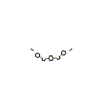 FC(F)=C(F)Oc1ccc(-c2ccc(-c3c4c(c(-c5ccc(-c6ccc(OC(F)=C(F)F)cc6)s5)c5nsnc35)N=S=N4)s2)cc1